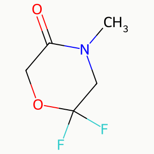 CN1CC(F)(F)OCC1=O